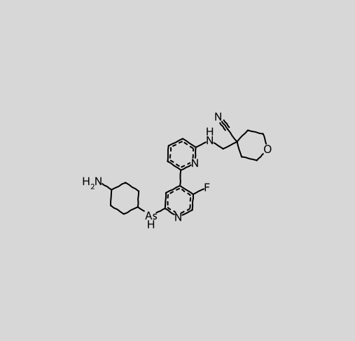 N#CC1(CNc2cccc(-c3cc([AsH]C4CCC(N)CC4)ncc3F)n2)CCOCC1